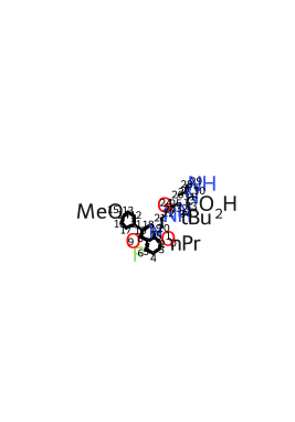 CCCOc1ccc(F)c2c(=O)c(-c3ccc(OC)cc3)cn(CCNC(=O)[C@H](Cc3c[nH]cn3)N(C(=O)O)C(C)(C)C)c12